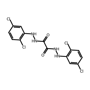 O=C(NNc1cc(Cl)ccc1Cl)C(=O)NNc1cc(Cl)ccc1Cl